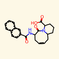 O=C(NC1CC=CCC2CCCC(C(=O)O)N2C1=O)c1ccc2ccccc2c1